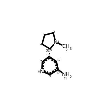 CN1CCC[C@H]1c1cncc(N)c1